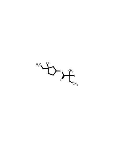 CCC1(O)CCC(OC(=O)C(C)(I)CC)C1